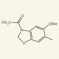 COc1cc2c(cc1C)OCN2C(=O)C(=O)O